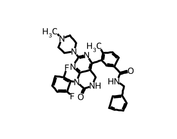 Cc1ccc(C(=O)NCc2ccccc2)cc1-c1nc(N2CCN(C)CC2)nc2c1CNC(=O)N2c1c(F)cccc1F